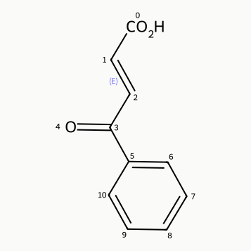 O=C(O)/C=C/C(=O)c1ccccc1